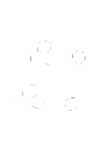 CCCC1=C(O)C(C(=O)O)=C(C(=O)O)C(C)(CCc2ccc(OC)cc2)N1C.COC(=O)c1c(O)cnc(CCc2ccc(OC)cc2)c1C(=O)OC